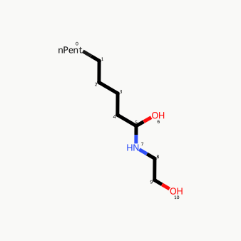 CCCCCCCCCC(O)NCCO